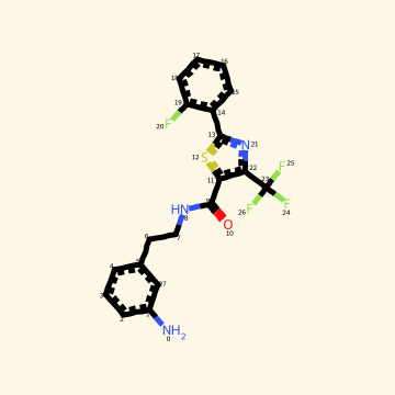 Nc1cccc(CCNC(=O)c2sc(-c3ccccc3F)nc2C(F)(F)F)c1